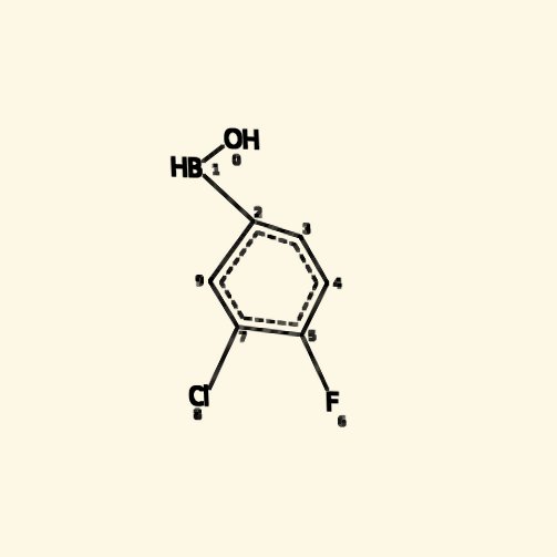 OBc1ccc(F)c(Cl)c1